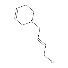 [Li][CH2]C=CCN1CC=CCC1